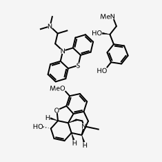 CC(CN1c2ccccc2Sc2ccccc21)N(C)C.CNC[C@H](O)c1cccc(O)c1.COc1ccc2c3c1O[C@H]1[C@@H](O)C=C[C@H]4[C@@H](C2)N(C)CC[C@@]341